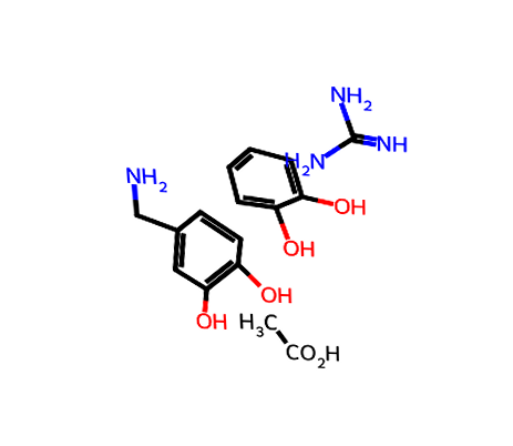 CC(=O)O.N=C(N)N.NCc1ccc(O)c(O)c1.Oc1ccccc1O